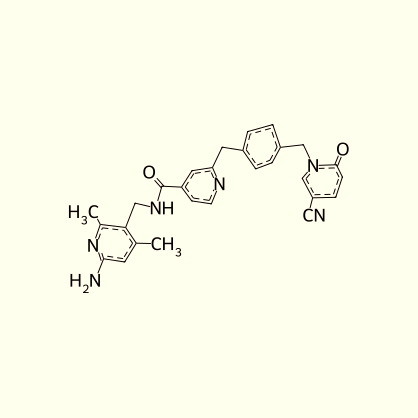 Cc1cc(N)nc(C)c1CNC(=O)c1ccnc(Cc2ccc(Cn3cc(C#N)ccc3=O)cc2)c1